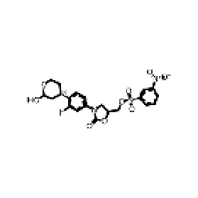 O=C1OC(COS(=O)(=O)c2cccc([N+](=O)[O-])c2)CN1c1ccc([C@@H]2CCSC(O)C2)c(F)c1